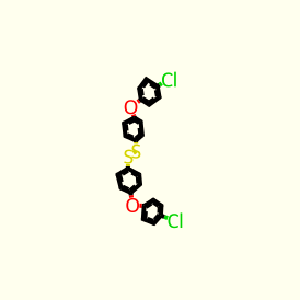 Clc1ccc(Oc2ccc(SSc3ccc(Oc4ccc(Cl)cc4)cc3)cc2)cc1